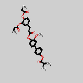 C=CC(=O)Oc1ccc(CCC(=O)Oc2ccc(-c3ccc(OC(=O)C(=C)C)cc3)cc2OC)cc1OC(=O)C=C